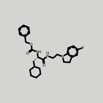 O=C(N[C@@H](CC1CCCCC1)C(=O)NCCN1CCc2cc(F)ccc21)OCc1ccccc1